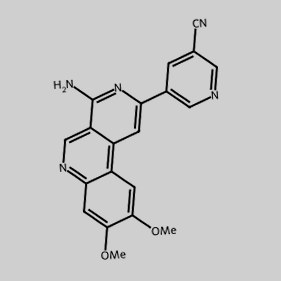 COc1cc2ncc3c(N)nc(-c4cncc(C#N)c4)cc3c2cc1OC